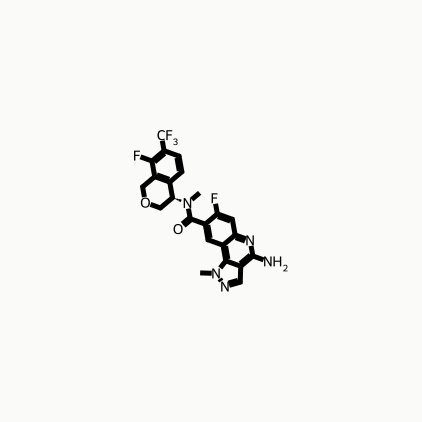 CN(C(=O)c1cc2c(cc1F)nc(N)c1cnn(C)c12)[C@@H]1COCc2c1ccc(C(F)(F)F)c2F